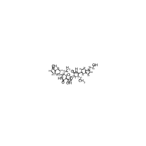 CCc1cc(C(=O)Oc2c(CC)c(-c3ccc4c(ccn4C)c3)[nH]c(=O)c2C(=O)O)c(=O)[nH]c1-c1ccc2c(ccn2CCO)c1